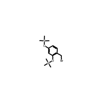 C[Si](C)(C)Oc1ccc(CBr)c(O[Si](C)(C)C)c1